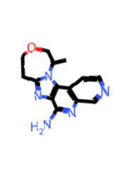 CC1COCCc2nc3c(N)nc4cnccc4c3n21